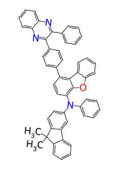 CC1(C)c2ccccc2-c2cc(N(c3ccccc3)c3ccc(-c4ccc(-c5nc6ccccc6nc5-c5ccccc5)cc4)c4c3oc3ccccc34)ccc21